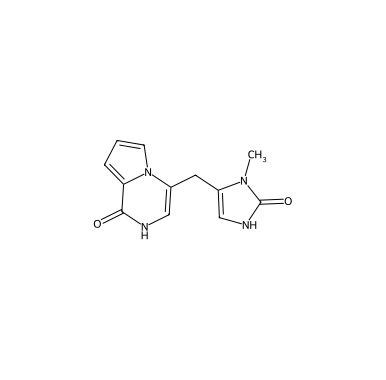 Cn1c(Cc2c[nH]c(=O)c3cccn23)c[nH]c1=O